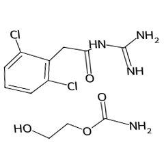 N=C(N)NC(=O)Cc1c(Cl)cccc1Cl.NC(=O)OCCO